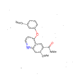 CNC(=O)c1cc2c(Oc3cccc(OC)c3)ccnc2cc1OC